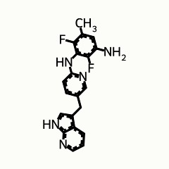 Cc1cc(N)c(F)c(Nc2ccc(Cc3c[nH]c4ncccc34)cn2)c1F